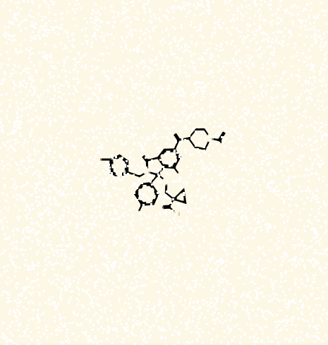 NC(=O)C1(COC2(c3ccc(Cl)cc3)c3c(F)cc(C(=O)C4CCN(C(=O)O)CC4)cc3C(=O)N2Cc2ccc(Cl)cn2)CC1